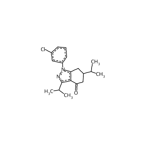 CC(C)c1nn(-c2cccc(Cl)c2)c2c1C(=O)CC(C(C)C)C2